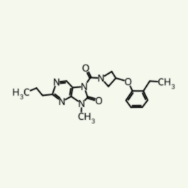 CCCc1ncc2c(n1)n(C)c(=O)n2C(=O)N1CC(Oc2ccccc2CC)C1